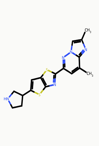 Cc1cn2nc(-c3nc4sc(C5CCNC5)cc4s3)cc(C)c2n1